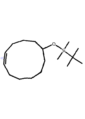 CC(C)(C)[Si](C)(C)OC1CCC/C=C\CCCCC1